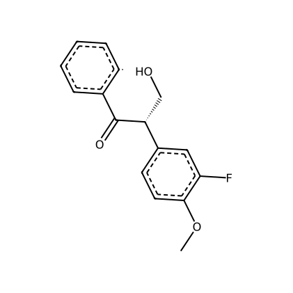 COc1ccc([C@@H](CO)C(=O)c2[c]cccc2)cc1F